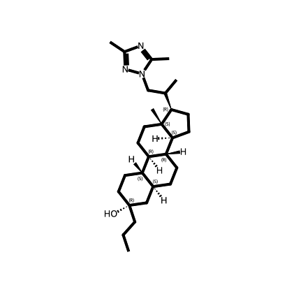 CCC[C@@]1(O)CC[C@H]2[C@@H](CC[C@@H]3[C@@H]2CC[C@]2(C)[C@@H](C(C)Cn4nc(C)nc4C)CC[C@@H]32)C1